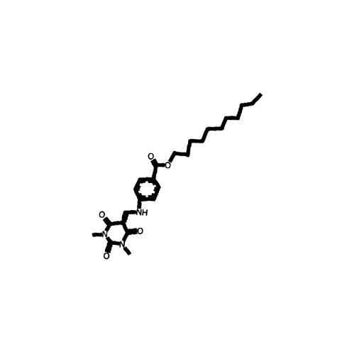 CCCCCCCCCCCOC(=O)c1ccc(NC=C2C(=O)N(C)C(=O)N(C)C2=O)cc1